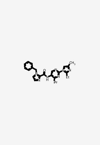 CCc1nc(C)cn1-c1ncc(NC(=O)c2nccn2Cc2ccccc2)c(C(C)C)n1